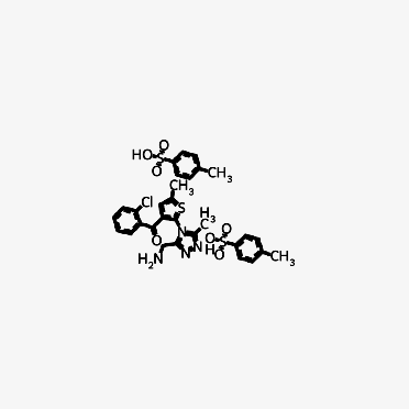 Cc1cc(C(=O)c2ccccc2Cl)c(-n2c(C)nnc2CN)s1.Cc1ccc(S(=O)(=O)O)cc1.Cc1ccc(S(=O)(=O)O)cc1